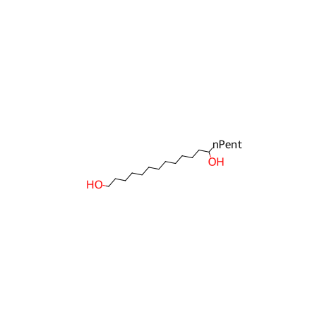 CCCCCC(O)CCCCCCCCCCCCO